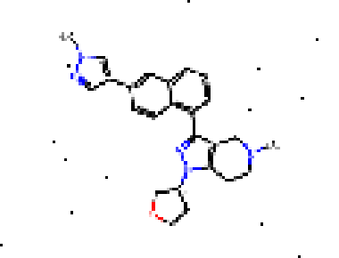 CC(=O)N1CCc2c(c(-c3cccc4cc(-c5cnn(C)c5)ccc34)nn2[C@H]2CCOC2)C1